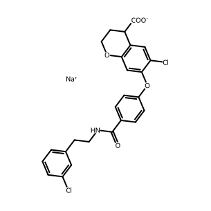 O=C(NCCc1cccc(Cl)c1)c1ccc(Oc2cc3c(cc2Cl)C(C(=O)[O-])CCO3)cc1.[Na+]